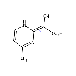 N#C/C(C(=O)O)=C1/N=C(C(F)(F)F)C=CN1